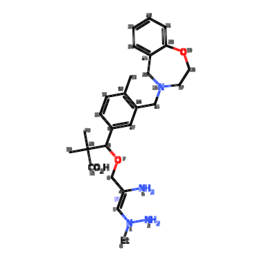 CCN(N)/C=C(\N)COC(c1ccc(C)c(CN2CCOc3ccccc3C2)c1)C(C)(C)C(=O)O